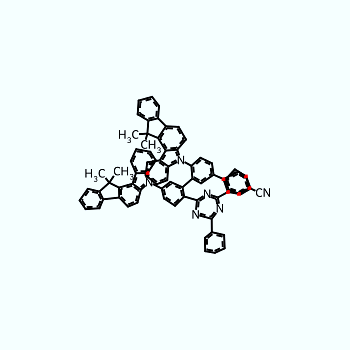 CC1(C)c2ccccc2-c2ccc3c(c21)c1ccccc1n3-c1ccc(-c2nc(-c3ccccc3)nc(-c3ccccc3)n2)c(-c2cc(-c3ccc(C#N)cc3)ccc2-n2c3ccccc3c3c4c(ccc32)-c2ccccc2C4(C)C)c1